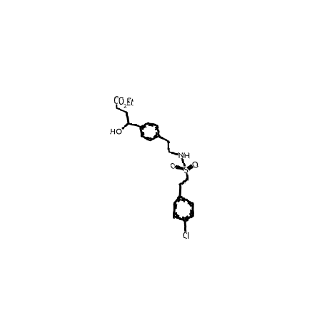 CCOC(=O)CCC(O)c1ccc(CCNS(=O)(=O)CCc2ccc(Cl)cc2)cc1